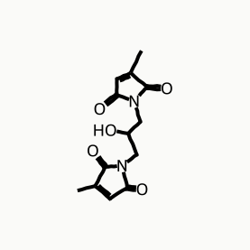 CC1=CC(=O)N(CC(O)CN2C(=O)C=C(C)C2=O)C1=O